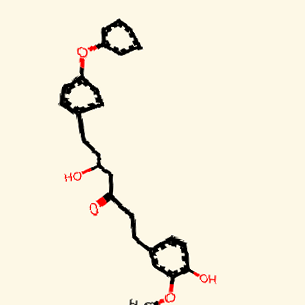 COc1cc(CCC(=O)CC(O)CCc2ccc(Oc3ccccc3)cc2)ccc1O